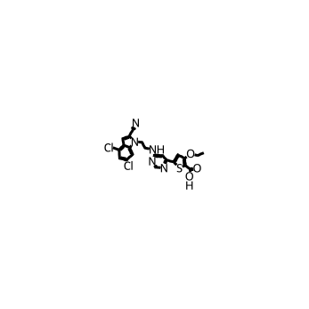 CCOc1cc(-c2cc(NCCn3c(C#N)cc4c(Cl)cc(Cl)cc43)ncn2)sc1C(=O)O